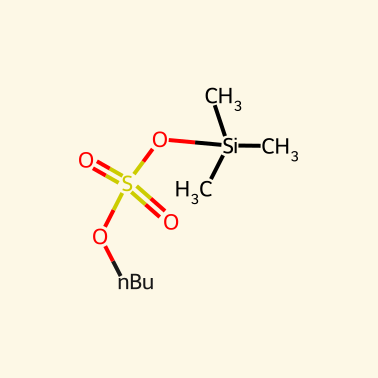 CCCCOS(=O)(=O)O[Si](C)(C)C